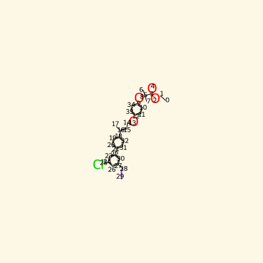 CCOC(=O)C(C)(C)Oc1ccc(OC/C=C(\C)c2ccc(-c3cc(Cl)cc(CI)c3)cc2)cc1